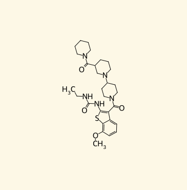 CCNC(=O)Nc1sc2c(OC)cccc2c1C(=O)N1CCC(N2CCCC(C(=O)N3CCCCC3)C2)CC1